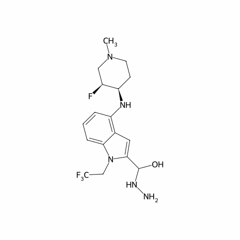 CN1CC[C@@H](Nc2cccc3c2cc(C(O)NN)n3CC(F)(F)F)[C@@H](F)C1